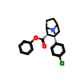 CN1C2CCC1[C@@H](C(=O)Oc1ccccc1)[C@@H](c1ccc(Cl)cc1)C2